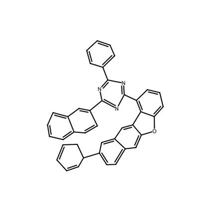 C1=CCC(c2ccc3cc4oc5cccc(-c6nc(-c7ccccc7)nc(-c7ccc8ccccc8c7)n6)c5c4cc3c2)C=C1